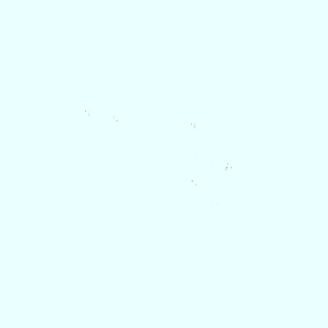 Cc1noc(C)c1-c1c(OCCN2CCNCC2)ccc2ccc(=O)n(Cc3ccccn3)c12